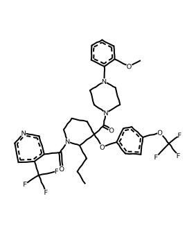 CCCC1N(C(=O)c2cnccc2C(F)(F)F)CCCC1(Oc1ccc(OC(F)(F)F)cc1)C(=O)N1CCN(c2ccccc2OC)CC1